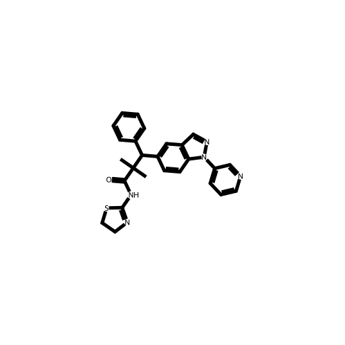 CC(C)(C(=O)NC1=NCCS1)C(c1ccccc1)c1ccc2c(cnn2-c2cccnc2)c1